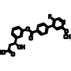 COc1cc(-c2ccc(C(=O)Oc3cccc([C@H](O)CC(=O)O)c3)cc2)c(F)cn1